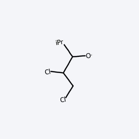 CC(C)C([O])C(Cl)CCl